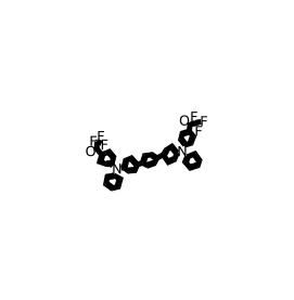 O=C(c1ccc(N(c2ccccc2)c2ccc(-c3ccc(-c4ccc(N(c5ccccc5)c5ccc(C(=O)C(F)(F)F)cc5)cc4)cc3)cc2)cc1)C(F)(F)F